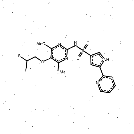 COc1nc(NS(=O)(=O)c2c[nH]c(-c3ncccn3)c2)nc(OC)c1OCC(F)F